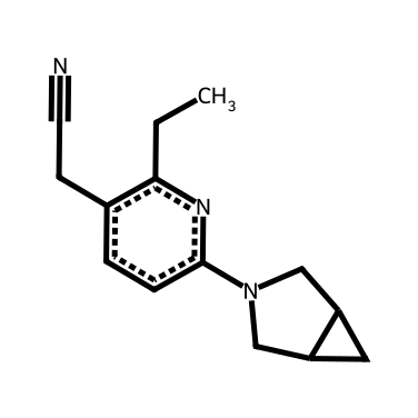 CCc1nc(N2CC3CC3C2)ccc1CC#N